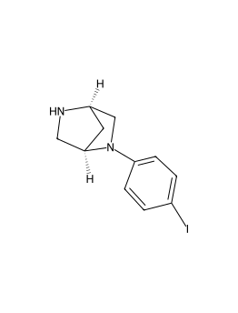 Ic1ccc(N2C[C@H]3C[C@@H]2CN3)cc1